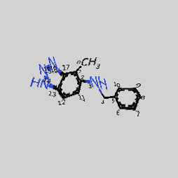 Cc1c(NCc2ccccc2)ccc2[nH]nnc12